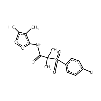 Cc1noc(NC(=O)C(C)(C)S(=O)(=O)c2ccc(Cl)cc2)c1C